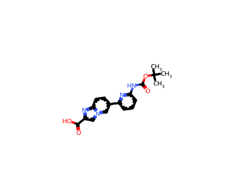 CC(C)(C)OC(=O)Nc1cccc(-c2ccc3nc(C(=O)O)cn3c2)n1